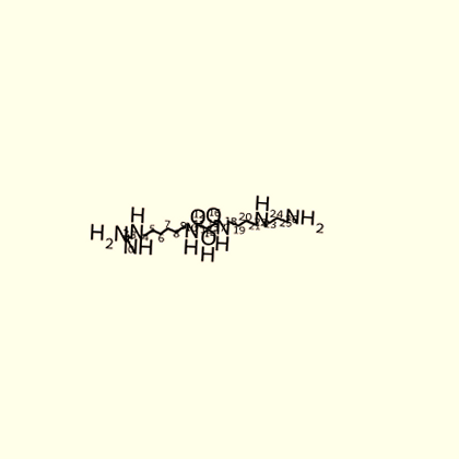 N=C(N)NCCCCCCNC(=O)C(O)C(=O)NCCCCNCCCN